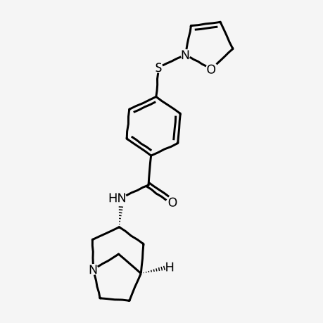 O=C(N[C@@H]1C[C@H]2CCN(C2)C1)c1ccc(SN2C=CCO2)cc1